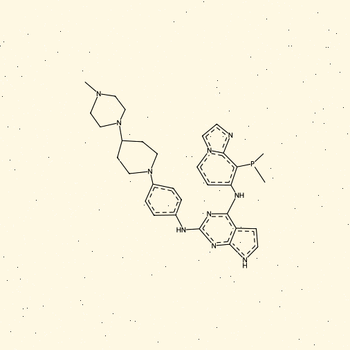 CN1CCN(C2CCN(c3ccc(Nc4nc(Nc5ccn6ccnc6c5P(C)C)c5cc[nH]c5n4)cc3)CC2)CC1